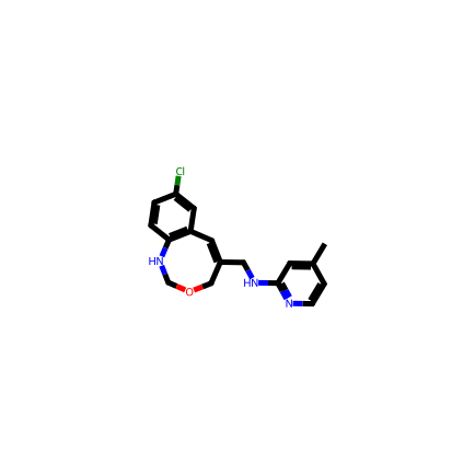 Cc1ccnc(NC/C2=C/c3cc(Cl)ccc3NCOC2)c1